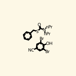 CCCN(CCC)C(=O)SCc1ccccc1.N#Cc1cc(Br)c(O)c(Br)c1